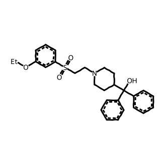 CCOc1cccc(S(=O)(=O)CCN2CCC(C(O)(c3ccccc3)c3ccccc3)CC2)c1